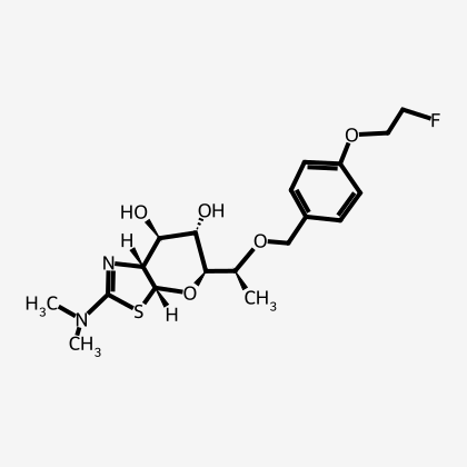 C[C@H](OCc1ccc(OCCF)cc1)[C@H]1O[C@@H]2SC(N(C)C)=N[C@@H]2[C@@H](O)[C@@H]1O